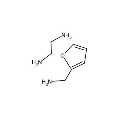 NCCN.NCc1ccco1